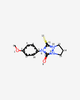 COc1ccc(-n2c(=O)n3n(c2=S)CCC3)cc1